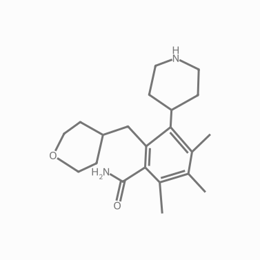 Cc1c(C)c(C(N)=O)c(CC2CCOCC2)c(C2CCNCC2)c1C